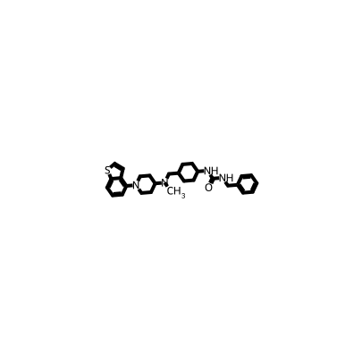 CN(CC1CCC(NC(=O)NCc2ccccc2)CC1)C1CCN(c2cccc3sccc23)CC1